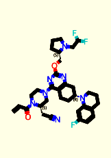 C=CC(=O)N1CCN(c2nc(OC[C@@H]3CCCN3CC(F)F)nc3c2CC[C@@H](N2CCCc4ccc(F)cc42)C3)C[C@@H]1CC#N